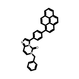 O=c1n(Cc2ccccc2)ccc2ncc(-c3ccc(-c4ccc5ccc6cccc7ccc4c5c67)cc3)n12